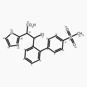 CCC(c1ccccc1-c1ccc(S(C)(=O)=O)cc1)C(C(=O)O)c1ncco1